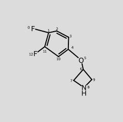 Fc1ccc(OC2CNC2)cc1F